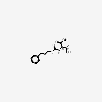 C[C@H](O)[C@@H](NC(=O)OCCCc1ccccc1)C(=O)O